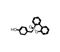 O=P1(CC2=CC=C(O)CC2)Oc2ccccc2-c2ccccc21